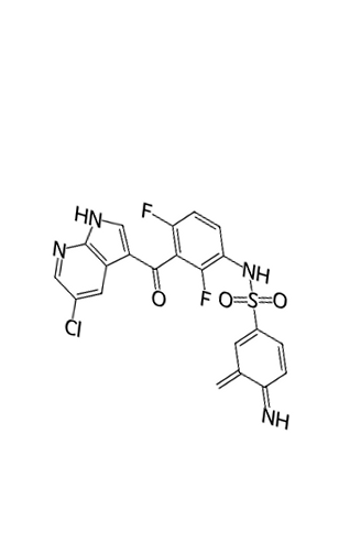 C=C1C=C(S(=O)(=O)Nc2ccc(F)c(C(=O)c3c[nH]c4ncc(Cl)cc34)c2F)C=CC1=N